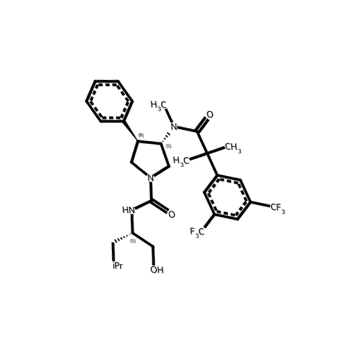 CC(C)C[C@@H](CO)NC(=O)N1C[C@@H](N(C)C(=O)C(C)(C)c2cc(C(F)(F)F)cc(C(F)(F)F)c2)[C@H](c2ccccc2)C1